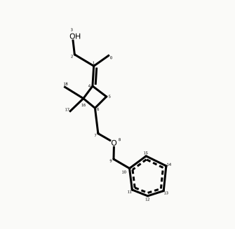 CC(CO)=C1CC(COCc2ccccc2)C1(C)C